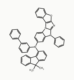 CC1(C)c2ccccc2-c2c(N(c3cccc(-c4ccccc4)c3)c3ccc4c(c3)n(-c3ccccc3)c3nc5oc6ccccc6c5n43)cccc21